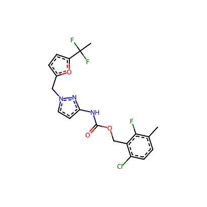 Cc1ccc(Cl)c(COC(=O)Nc2ccn(Cc3ccc(C(C)(F)F)o3)n2)c1F